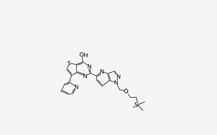 C[Si](C)(C)CCOCn1ncc2nc(-c3nc(O)c4scc(-c5ccccn5)c4n3)ccc21